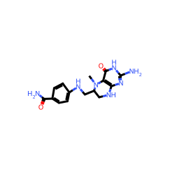 CN1c2c(nc(N)[nH]c2=O)NCC1CNc1ccc(C(N)=O)cc1